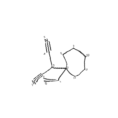 C=CC1(C(C#N)C#N)CCCCC1